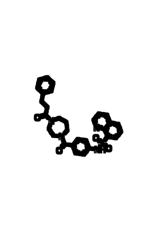 O=C(CCc1ccccc1)N1CCCN(C(=O)c2ccc(NS(=O)(=O)c3cccc4cccnc34)cc2)CC1